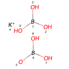 OB(O)O.[K+].[O-]B(O)O